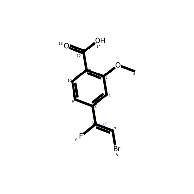 COc1cc(/C(F)=C/Br)ccc1C(=O)O